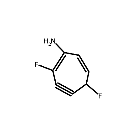 NC1=C(F)C#CC(F)C=C1